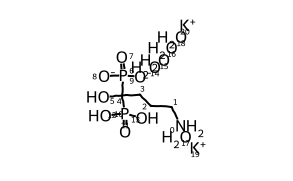 NCCCC(O)(P(=O)([O-])[O-])P(=O)(O)O.O.O.O.O.O.[K+].[K+]